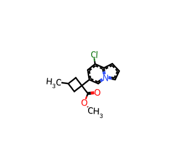 COC(=O)C1(c2cc(Cl)c3cccn3c2)CC(C)C1